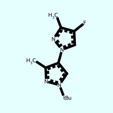 Cc1nn(-c2cn(C(C)(C)C)nc2C)cc1F